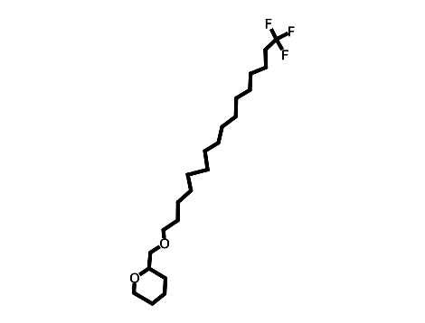 FC(F)(F)CCCCCCCCCCCCCCCOCC1CCCCO1